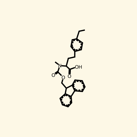 CCc1ccc(CCC(C(=O)O)N(C)C(=O)OCC2c3ccccc3-c3ccccc32)cc1